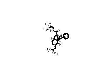 CC(C)CNC(=O)[C@@]12C[C@@H]3CCN(CC(C)C)[C@H]([C@H]3CN1)[C@H]2Cc1ccccc1